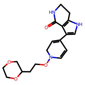 O=C1NCCc2[nH]cc(C3=CCN(OCCC4COCCO4)C=C3)c21